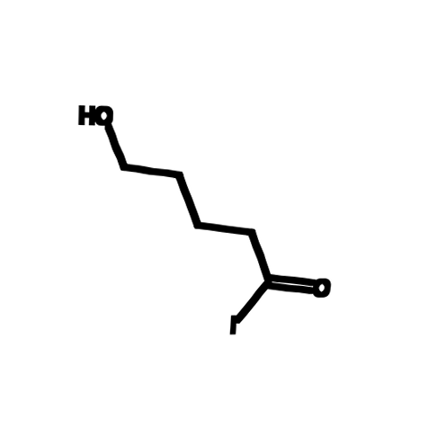 O=C(I)CCCCO